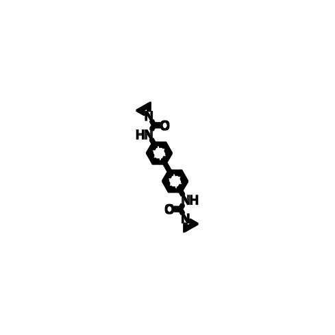 O=C(Nc1ccc(-c2ccc(NC(=O)N3CC3)cc2)cc1)N1CC1